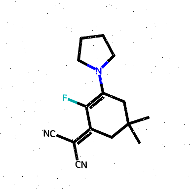 CC1(C)CC(=C(C#N)C#N)C(F)=C(N2CCCC2)C1